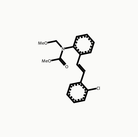 COCN(C(=O)OC)c1ccccc1C=Cc1ccccc1Cl